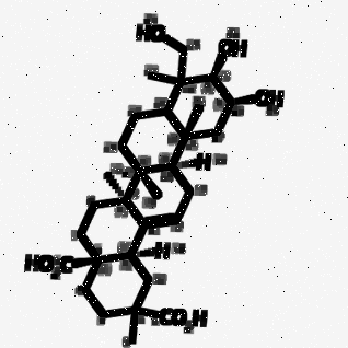 CC1(C(=O)O)CC[C@]2(C(=O)O)CC[C@]3(C)C(=CC[C@@H]4[C@@]5(C)C[C@H](O)[C@H](O)C(C)(CO)C5CC[C@]43C)[C@H]2C1